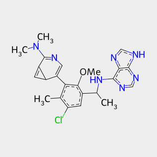 COc1c(C(C)Nc2ncnc3[nH]cnc23)cc(Cl)c(C)c1C1=CN=C(N(C)C)C2=CC21